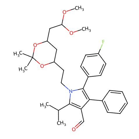 COC(CC1CC(CCn2c(-c3ccc(F)cc3)c(-c3ccccc3)c(C=O)c2C(C)C)OC(C)(C)O1)OC